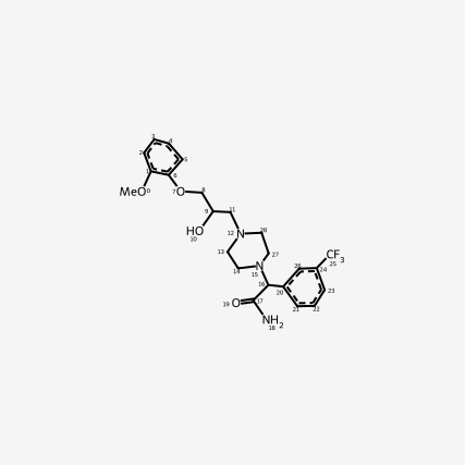 COc1ccccc1OCC(O)CN1CCN(C(C(N)=O)c2cccc(C(F)(F)F)c2)CC1